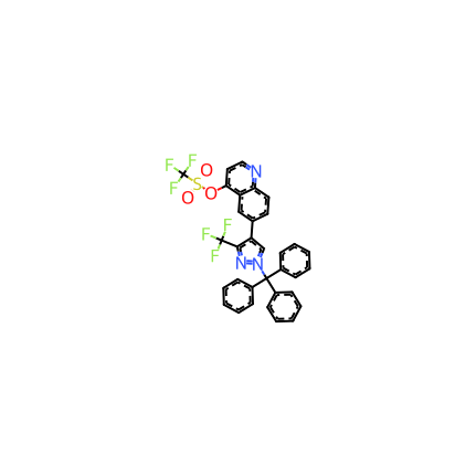 O=S(=O)(Oc1ccnc2ccc(-c3cn(C(c4ccccc4)(c4ccccc4)c4ccccc4)nc3C(F)(F)F)cc12)C(F)(F)F